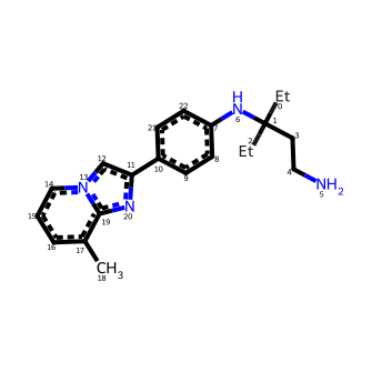 CCC(CC)(CCN)Nc1ccc(-c2cn3cccc(C)c3n2)cc1